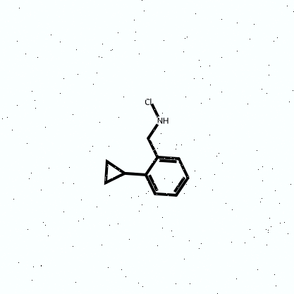 ClNCc1ccccc1C1CC1